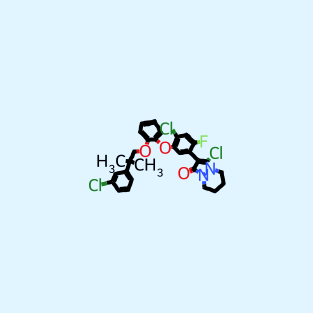 CC(C)(COc1ccccc1Oc1cc(-c2c(Cl)n3n(c2=O)CCCC3)c(F)cc1Cl)c1cccc(Cl)c1